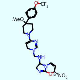 COC1(c2ccc(OC(F)(F)F)cc2)CCN(C2=CCN(CNC3CN=C4O[C@H]([N+](=O)[O-])C=CN43)C=N2)CC1